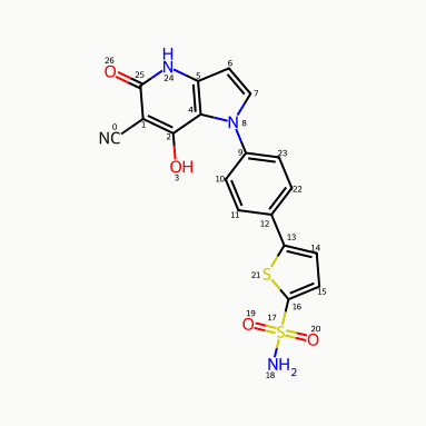 N#Cc1c(O)c2c(ccn2-c2ccc(-c3ccc(S(N)(=O)=O)s3)cc2)[nH]c1=O